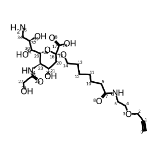 C#CCOCCNC(=O)CCCCCCO[C@]1(C(=O)O)C[C@H](O)[C@@H](NC(=O)CO)[C@H]([C@H](O)[C@H](O)CN)O1